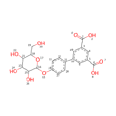 O=C(O)c1cc(C(=O)O)cc(-c2ccc(OC3OC(CO)C(O)C(O)C3O)cc2)c1